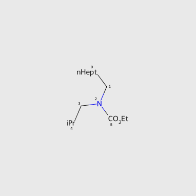 CCCCCCCCN(CC(C)C)C(=O)OCC